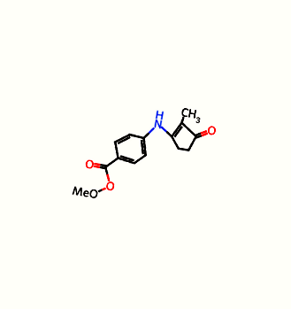 COOC(=O)c1ccc(NC2=C(C)C(=O)CC2)cc1